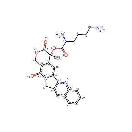 CCC1(OC(=O)[C@@H](N)CCCCN)C(=O)OCc2c1cc1n(c2=O)Cc2cc3ccccc3nc2-1